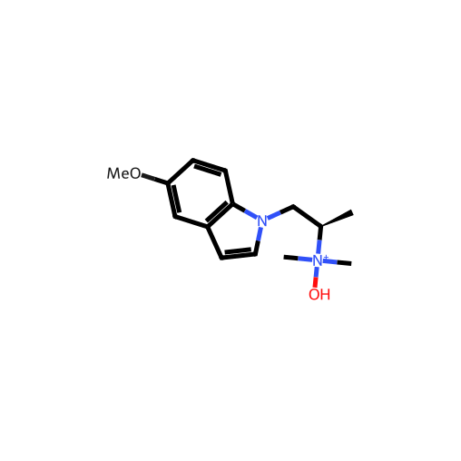 COc1ccc2c(ccn2C[C@@H](C)[N+](C)(C)O)c1